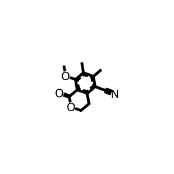 COc1c(C)c(C)c(C#N)c2c1C(=O)OCC2